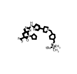 CC(C)(C)[Si](C)(C)OCC1CCC(CN2CCC(c3ccc(Nc4ncc5cc(C(F)F)c(=O)n(C6CCCC6)c5n4)nc3)CC2)CC1